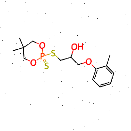 Cc1ccccc1OCC(O)CSP1(=S)OCC(C)(C)CO1